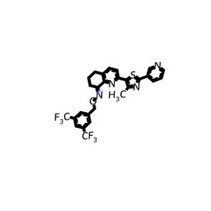 Cc1nc(-c2cccnc2)sc1-c1ccc2c(n1)/C(=N/OCc1cc(C(F)(F)F)cc(C(F)(F)F)c1)CCC2